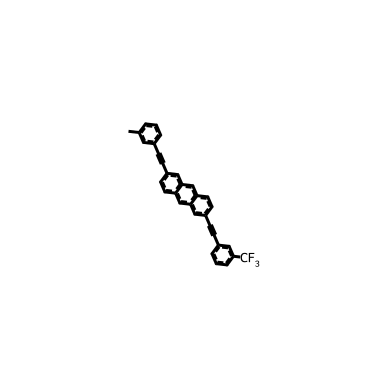 Cc1cccc(C#Cc2ccc3cc4cc(C#Cc5cccc(C(F)(F)F)c5)ccc4cc3c2)c1